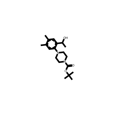 Cc1cc(C(C)O)c(N2CCN(C(=O)OC(C)(C)C)CC2)cc1C